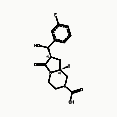 O=C(O)N1CCN2C(=O)[C@@H](C(O)c3cccc(F)c3)C[C@H]2C1